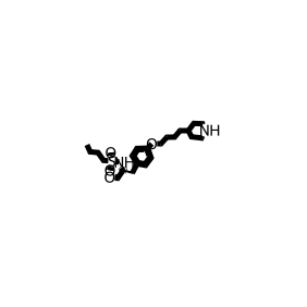 CCCCS(=O)(=O)N[C@H](C=O)Cc1ccc(OCCCCC2CCNCC2)cc1